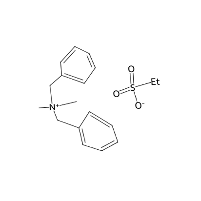 CCS(=O)(=O)[O-].C[N+](C)(Cc1ccccc1)Cc1ccccc1